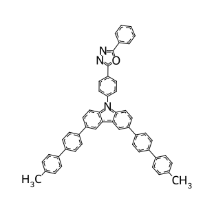 Cc1ccc(-c2ccc(-c3ccc4c(c3)c3cc(-c5ccc(-c6ccc(C)cc6)cc5)ccc3n4-c3ccc(-c4nnc(-c5ccccc5)o4)cc3)cc2)cc1